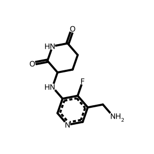 NCc1cncc(NC2CCC(=O)NC2=O)c1F